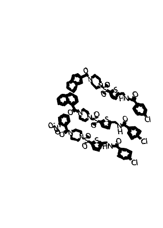 O=C(NCc1ccc(S(=O)(=O)N2CCN(C(=O)c3ccc4ccccc4c3)CC2)s1)c1ccc(Cl)cc1.O=C(NCc1ccc(S(=O)(=O)N2CCN(C(=O)c3cccc4ccccc34)CC2)s1)c1ccc(Cl)cc1.O=C(NCc1ccc(S(=O)(=O)N2CCN(C(=O)c3ccccc3[N+](=O)[O-])CC2)s1)c1ccc(Cl)cc1